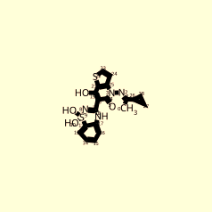 CC(=Nn1c(=O)c(C2=NS(O)(O)c3ccccc3N2)c(O)c2sccc21)C1CC1